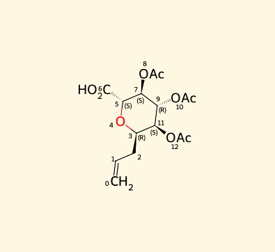 C=CC[C@H]1O[C@H](C(=O)O)[C@@H](OC(C)=O)[C@H](OC(C)=O)[C@H]1OC(C)=O